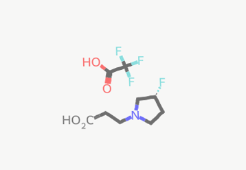 O=C(O)C(F)(F)F.O=C(O)CCN1CC[C@@H](F)C1